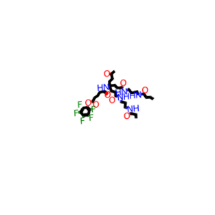 CCCC(=O)NCCCNC(=O)CCC(CCC(C)=O)(CCC(=O)NCCCNC(=O)CC)NC(=O)CCCC(=O)Oc1c(F)c(F)c(F)c(F)c1F